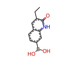 CCc1cc2ccc(B(O)O)cc2[nH]c1=O